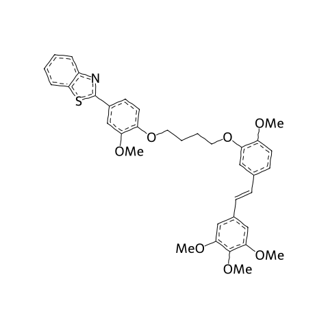 COc1cc(-c2nc3ccccc3s2)ccc1OCCCCOc1cc(C=Cc2cc(OC)c(OC)c(OC)c2)ccc1OC